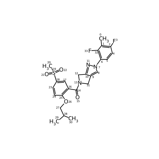 Cc1c(F)ccc(-n2cc3c(n2)CN(C(=O)c2cc(S(C)(=O)=O)ccc2OCC(C)C)C3)c1F